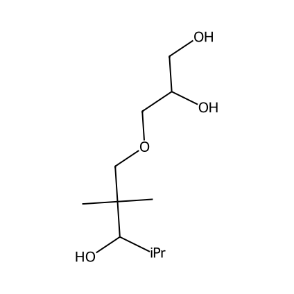 CC(C)C(O)C(C)(C)COCC(O)CO